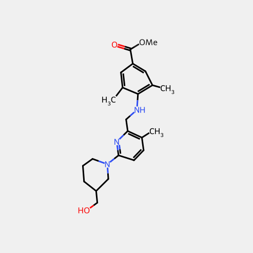 COC(=O)c1cc(C)c(NCc2nc(N3CCCC(CO)C3)ccc2C)c(C)c1